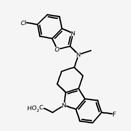 CN(c1nc2ccc(Cl)cc2o1)C1CCc2c(c3cc(F)ccc3n2CC(=O)O)C1